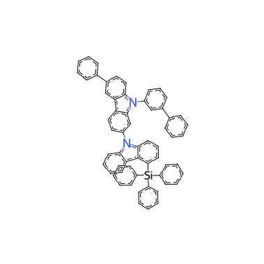 c1ccc(-c2cccc(-n3c4ccc(-c5ccccc5)cc4c4ccc(-n5c6ccccc6c6c([Si](c7ccccc7)(c7ccccc7)c7ccccc7)cccc65)cc43)c2)cc1